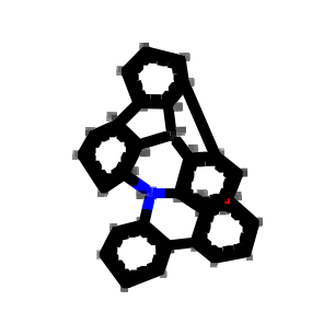 c1ccc(-c2ccccc2N2c3cccc4c3B3c5c-4cccc5-c4cccc2c43)cc1